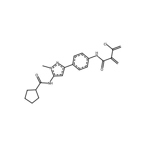 C=C(Cl)C(=C)C(=O)Nc1ccc(-c2cc(NC(=O)C3CCCC3)n(C)n2)cc1